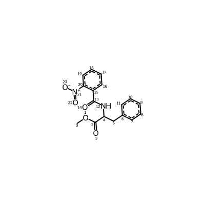 COC(=O)C(Cc1ccccc1)NC(=O)c1ccccc1[N+](=O)[O-]